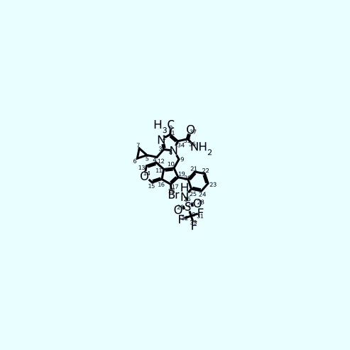 Cc1nc(CC2CC2)n(Cc2c3ccocc-3c(Br)c2-c2ccccc2NS(=O)(=O)C(F)(F)F)c1C(N)=O